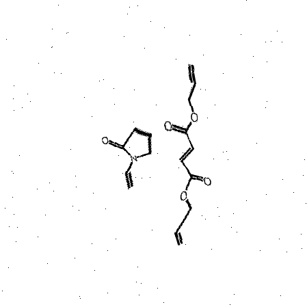 C=CCOC(=O)C=CC(=O)OCC=C.C=CN1CCCC1=O